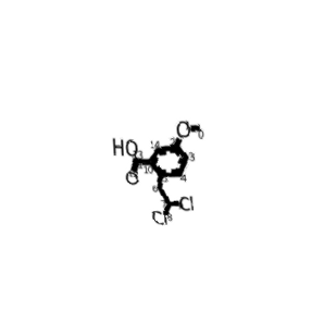 COc1ccc(CC(Cl)Cl)c(C(=O)O)c1